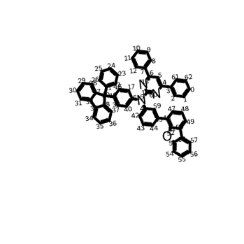 c1ccc(-c2cc(-c3ccccc3)nc(N(c3ccc(C4(c5ccccc5)c5ccccc5-c5ccccc54)cc3)c3cccc(-c4cccc5c4oc4ccccc45)c3)n2)cc1